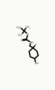 CC(C)(C)OC(=O)NCC1(F)CCC(O)CC1